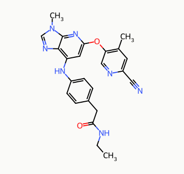 CCNC(=O)Cc1ccc(Nc2cc(Oc3cnc(C#N)cc3C)nc3c2ncn3C)cc1